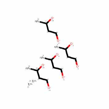 CCCC([O-])CC[O-].CCCC([O-])CC[O-].CCCC([O-])CC[O-].CCCC([O-])CC[O-].[Ti+4].[Ti+4]